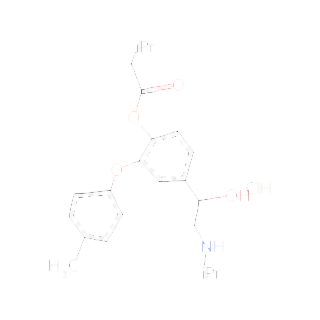 Cc1ccc(Oc2cc(C(O)CNC(C)C)ccc2OC(=O)CC(C)C)cc1.Cl